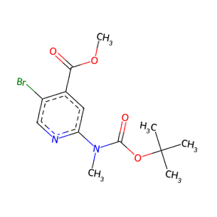 COC(=O)c1cc(N(C)C(=O)OC(C)(C)C)ncc1Br